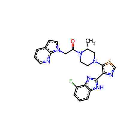 C[C@@H]1CN(c2scnc2-c2nc3c(F)cccc3[nH]2)CCN1C(=O)Cn1ccc2cccnc21